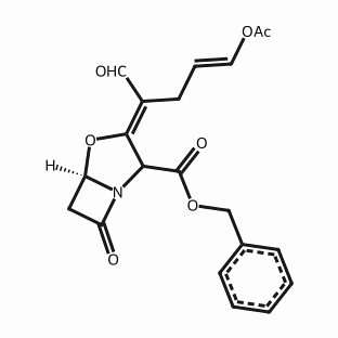 CC(=O)OC=CCC(C=O)=C1O[C@@H]2CC(=O)N2C1C(=O)OCc1ccccc1